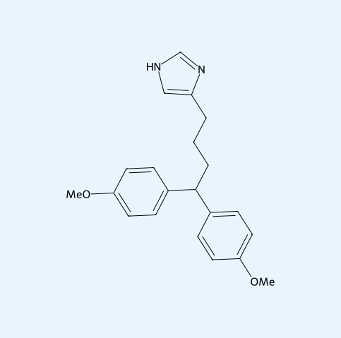 COc1ccc(C(CCCc2c[nH]cn2)c2ccc(OC)cc2)cc1